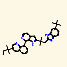 CCC(C)(C)c1cnc2c(-c3nccc4cc(C(C)(C)Cc5nc6ccc(C(C)(C)C)cc6[nH]5)[nH]c34)cccc2c1